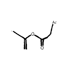 [CH2]C(=C)OC(=O)CC(C)=O